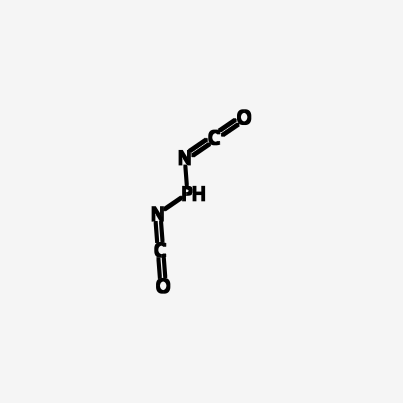 O=C=NPN=C=O